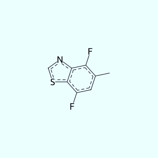 Cc1cc(F)c2scnc2c1F